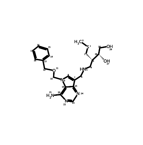 CSC[C@@H](CNCc1cn(COCc2ccccc2)c2c(N)ncnc12)[C@@H](O)CO